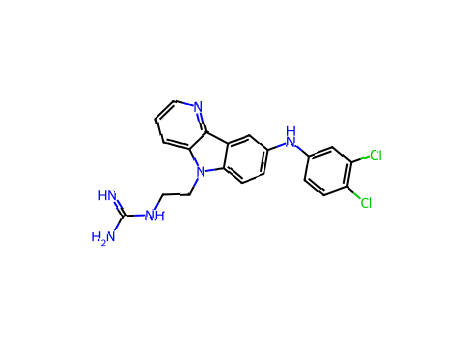 N=C(N)NCCn1c2ccc(Nc3ccc(Cl)c(Cl)c3)cc2c2ncccc21